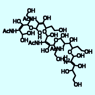 CC(=O)N/C(=C(\O)C(CCO)OC(O)/C(NC(C)=O)=C(/O)C(CCO)OC(O)/C(NC(C)=O)=C(/O)C(CCO)OC(O)[C@H](NC(C)=O)C(O)C(CCO)OC(O)/C(N)=C(\O)C(O)CCO)C(O)O